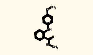 CNC(=O)c1ccccc1Nc1ccc(OC)cc1